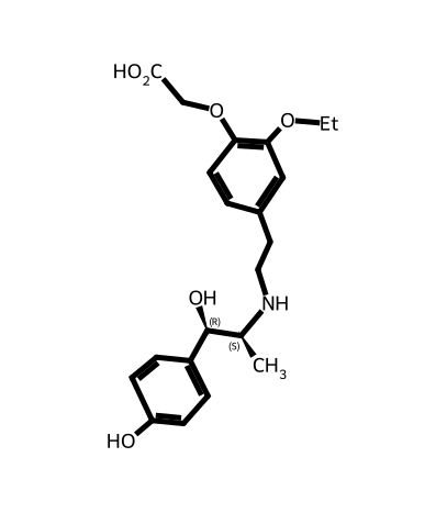 CCOc1cc(CCN[C@@H](C)[C@H](O)c2ccc(O)cc2)ccc1OCC(=O)O